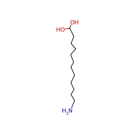 NCCCCCCCCCCCC(O)O